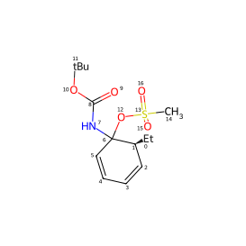 CC[C@H]1C=CC=CC1(NC(=O)OC(C)(C)C)OS(C)(=O)=O